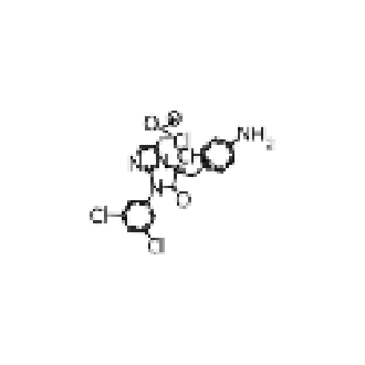 C[C@@]1(Cc2ccc(N)cc2)C(=O)N(c2cc(Cl)cc(Cl)c2)c2ncc(S(=O)(=O)Cl)n21